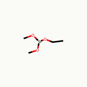 CCO[Si](OC)OC